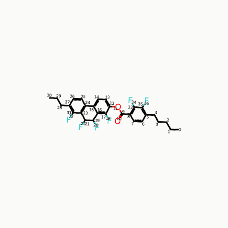 CCCCCc1ccc(C(=O)Oc2ccc3c(c2F)C(F)C(F)c2c-3ccc(CCC)c2F)c(F)c1F